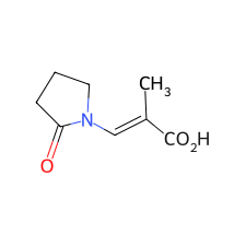 CC(=CN1CCCC1=O)C(=O)O